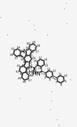 N=C(c1ccc(-c2ccccc2)cc1)c1ccccc1C(=N)n1c2cc3c4ccccc4n4c5ccccc5c(c2c2ccc5ccccc5c21)c34